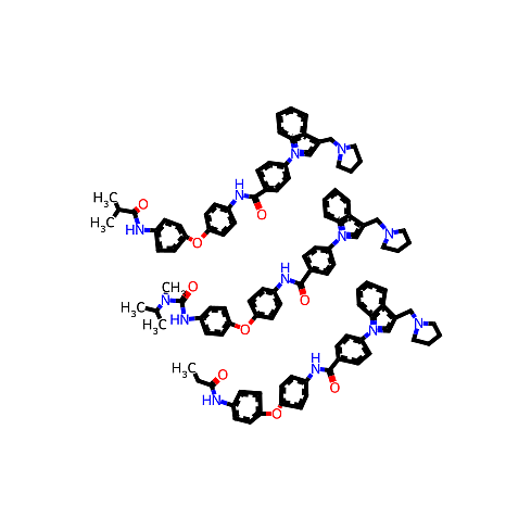 CC(C)C(=O)Nc1ccc(Oc2ccc(NC(=O)c3ccc(-n4cc(CN5CCCC5)c5ccccc54)cc3)cc2)cc1.CC(C)N(C)C(=O)Nc1ccc(Oc2ccc(NC(=O)c3ccc(-n4cc(CN5CCCC5)c5ccccc54)cc3)cc2)cc1.CCC(=O)Nc1ccc(Oc2ccc(NC(=O)c3ccc(-n4cc(CN5CCCC5)c5ccccc54)cc3)cc2)cc1